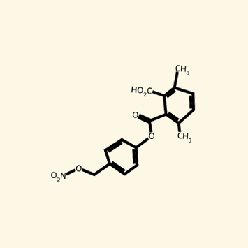 Cc1ccc(C)c(C(=O)Oc2ccc(CO[N+](=O)[O-])cc2)c1C(=O)O